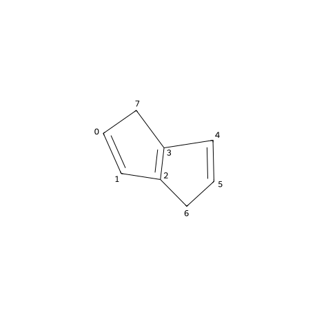 C1=CC2=C(C=CC2)C1